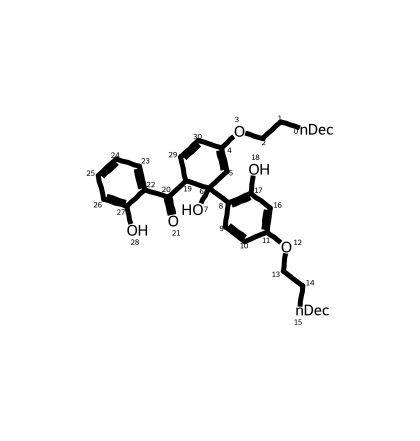 CCCCCCCCCCCCOC1=CC(O)(c2ccc(OCCCCCCCCCCCC)cc2O)C(C(=O)c2ccccc2O)C=C1